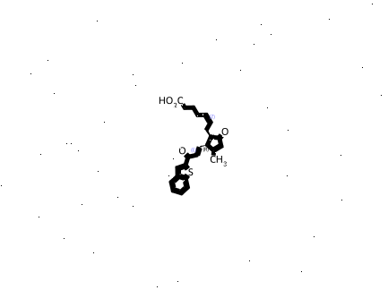 CC1=CC(=O)[C@H](C/C=C\CCCC(=O)O)[C@H]1/C=C/C(=O)c1cc2ccccc2s1